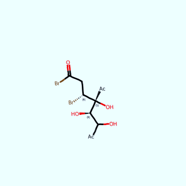 CC(=O)C(O)[C@@H](O)[C@](O)(C(C)=O)[C@H](Br)CC(=O)Br